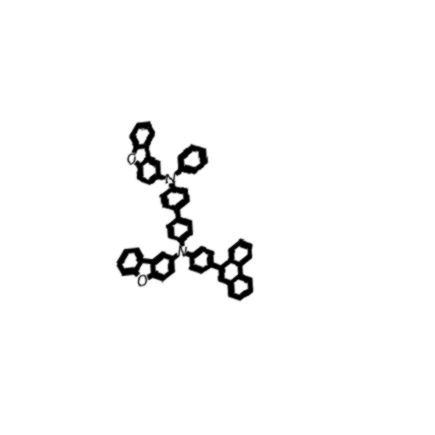 c1ccc(N(c2ccc(-c3ccc(N(c4ccc(-c5cc6ccccc6c6ccccc56)cc4)c4ccc5oc6ccccc6c5c4)cc3)cc2)c2ccc3oc4ccccc4c3c2)cc1